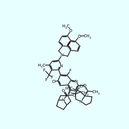 COc1ccc(CN(Cc2ccc(OC)cc2)c2cc(C)c(C(F)(F)F)c(-c3c(Cl)cc4c(N5CC6CCC(C5)N6C(=O)OC(C)(C)C)nc(OC(C)C56CCCN5CC(F)C6)nc4c3F)n2)cc1